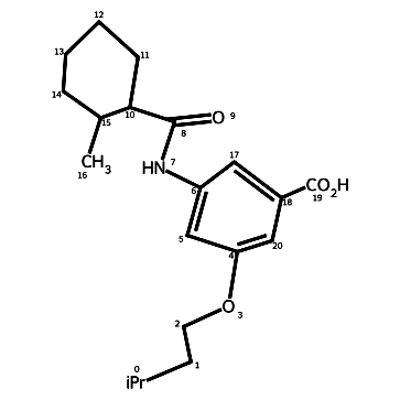 CC(C)CCOc1cc(NC(=O)C2CCCCC2C)cc(C(=O)O)c1